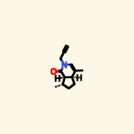 C#CCN1C=C(C)[C@H]2CC[C@H](C)[C@H]2C1=O